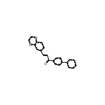 O=C(/C=C/c1ccc2nccnc2c1)c1ccc(-c2ccccc2)cc1